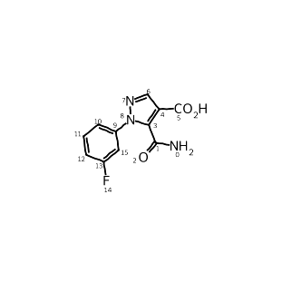 NC(=O)c1c(C(=O)O)cnn1-c1cccc(F)c1